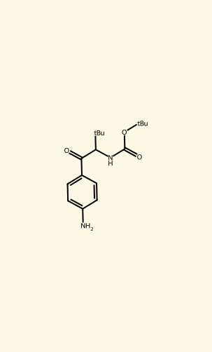 CC(C)(C)OC(=O)NC(C(=O)c1ccc(N)cc1)C(C)(C)C